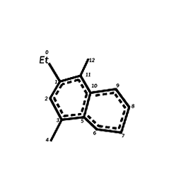 CCc1cc(C)c2ccccc2c1C